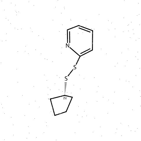 [CH]1CCC[C@H]1SSc1ccccn1